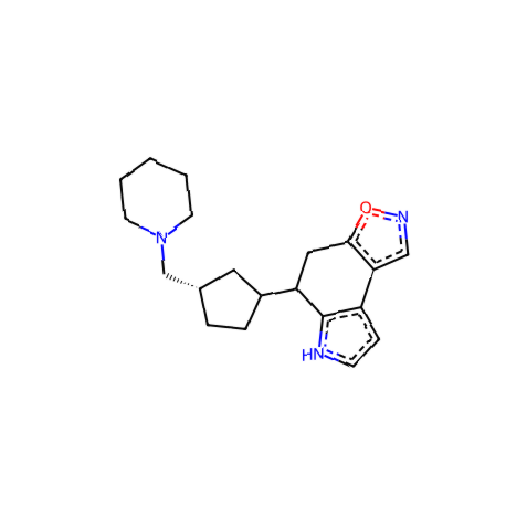 c1cc2c([nH]1)C(C1CC[C@H](CN3CCCCC3)C1)Cc1oncc1-2